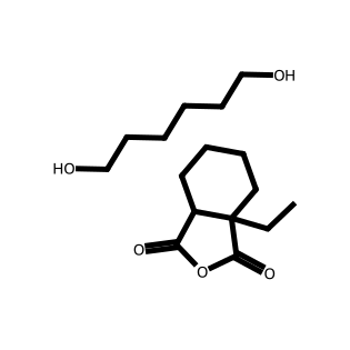 CCC12CCCCC1C(=O)OC2=O.OCCCCCCO